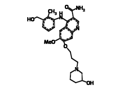 COc1cc2c(Nc3cccc(CO)c3C)c(C(N)=O)cnc2cc1OCCCN1CCCC(O)C1